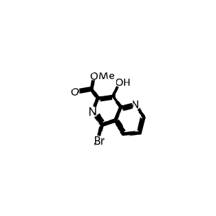 COC(=O)c1nc(Br)c2cccnc2c1O